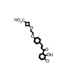 O=C(/C=C/c1ccc(OCCOC2CC(C(=O)O)C2)cc1)c1cccc(Cl)c1O